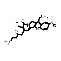 CCCC(=O)Cc1cc2n(c(=O)c1CC)Cc1c-2nc2ccc(N=O)cc2c1CC